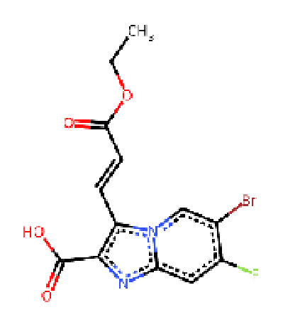 CCOC(=O)C=Cc1c(C(=O)O)nc2cc(F)c(Br)cn12